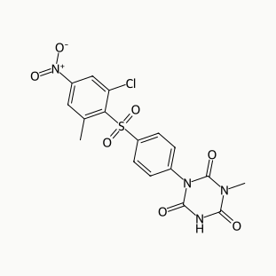 Cc1cc([N+](=O)[O-])cc(Cl)c1S(=O)(=O)c1ccc(-n2c(=O)[nH]c(=O)n(C)c2=O)cc1